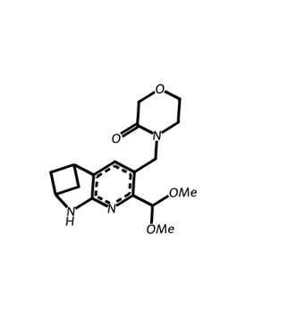 COC(OC)c1nc2c(cc1CN1CCOCC1=O)C1CC(C1)N2